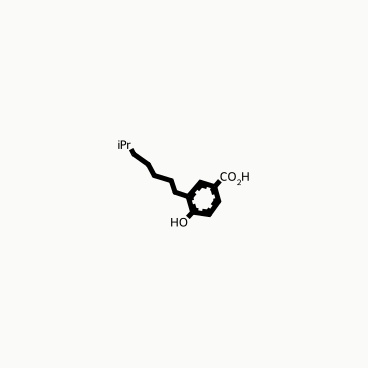 CC(C)CCCCCc1cc(C(=O)O)ccc1O